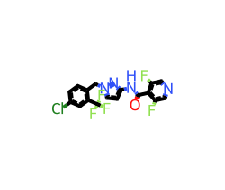 O=C(Nc1ccn(Cc2ccc(Cl)cc2C(F)(F)F)n1)c1c(F)cncc1F